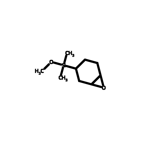 CO[Si](C)(C)C1CCC2OC2C1